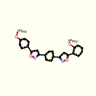 CCCCCOc1ccc(-c2cc(-c3ccc(-c4cc(-c5ccccc5OCCCCC)on4)cc3)no2)cc1